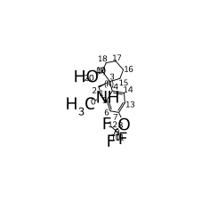 CNC[C@]1(c2ccc(OC(F)(F)F)cc2)CCCC[C@@H]1O